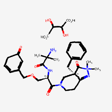 CC(C)(N)C(=O)N[C@H](COCC1=CC(=O)CC=C1)C(=O)N1CCC2=N[N+](C)(C)C(=O)[C@]2(Cc2ccccc2)C1.O=C(O)C(O)C(O)C(=O)O